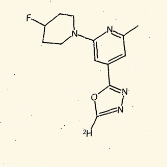 [2H]c1nnc(-c2cc(C)nc(N3CCC(F)CC3)c2)o1